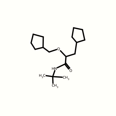 CC(C)(C)NC(=O)C(CC1CCCC1)OCC1CCCC1